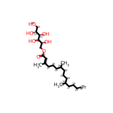 CC(=CC(=O)OC[C@H](O)[C@@H](O)[C@H](O)[C@H](O)CO)CCCC(C)CCCC(C)CCCC(C)C